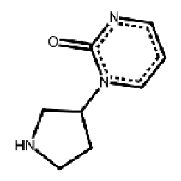 O=c1ncccn1C1CCNC1